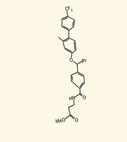 COC(=O)CCNC(=O)c1ccc(C(Oc2ccc(-c3ccc(C(F)(F)F)cc3)c(C)c2)C(C)C)cc1